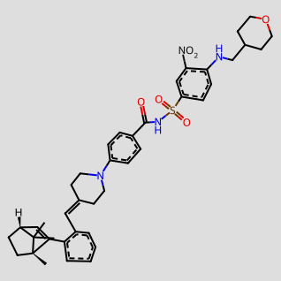 CC1(C)[C@H]2C=C(c3ccccc3C=C3CCN(c4ccc(C(=O)NS(=O)(=O)c5ccc(NCC6CCOCC6)c([N+](=O)[O-])c5)cc4)CC3)[C@]1(C)CC2